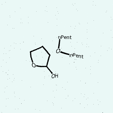 CCCCCOCCCCC.OC1CCCO1